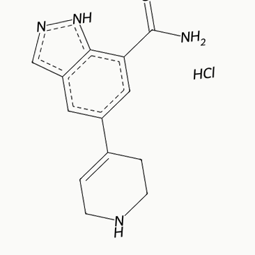 Cl.NC(=O)c1cc(C2=CCNCC2)cc2cn[nH]c12